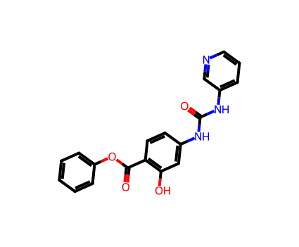 O=C(Nc1cccnc1)Nc1ccc(C(=O)Oc2ccccc2)c(O)c1